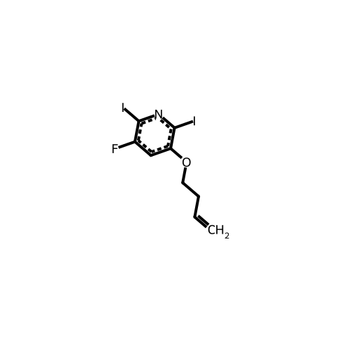 C=CCCOc1cc(F)c(I)nc1I